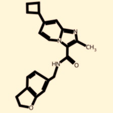 Cc1nc2cc(C3CCC3)ccn2c1C(=O)NCc1ccc2c(c1)OCC2